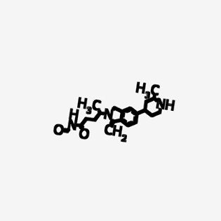 C=C1c2ccc(C3CCNC(C)C3)cc2CN1C(C)CCC(=O)NC=O